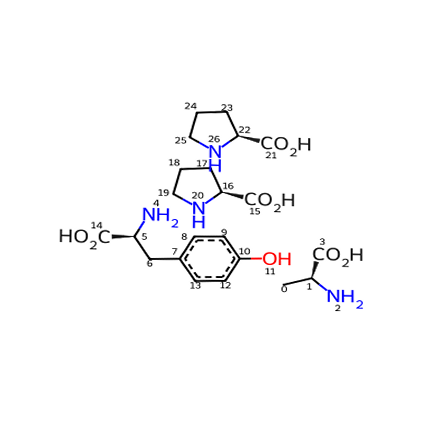 C[C@H](N)C(=O)O.N[C@@H](Cc1ccc(O)cc1)C(=O)O.O=C(O)[C@@H]1CCCN1.O=C(O)[C@@H]1CCCN1